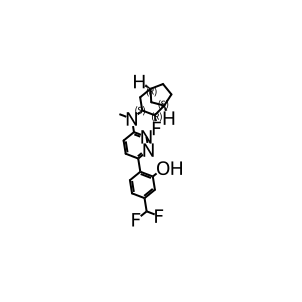 CN(c1ccc(-c2ccc(C(F)F)cc2O)nn1)[C@H]1C[C@@H]2CC[C@@H](C2)[C@H]1F